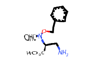 NC[C@@H](C(=O)O)N(C=O)OCc1ccccc1